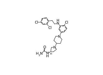 NC(=O)N[C@@H]1CCN(C2CCN(c3ccc(Cl)c(NCCc4ccc(Cl)cc4Cl)c3)CC2)C1